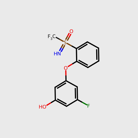 N=S(=O)(c1ccccc1Oc1cc(O)cc(F)c1)C(F)(F)F